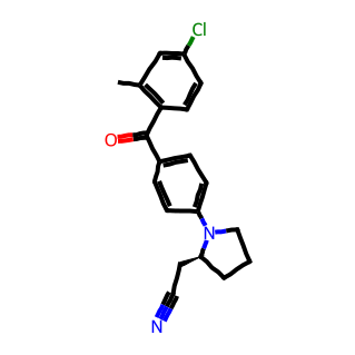 Cc1cc(Cl)ccc1C(=O)c1ccc(N2CCC[C@H]2CC#N)cc1